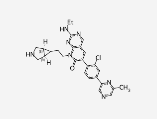 CCNc1ncc2cc(-c3ccc(-c4cncc(C)n4)cc3Cl)c(=O)n(CCC3[C@H]4CNC[C@@H]34)c2n1